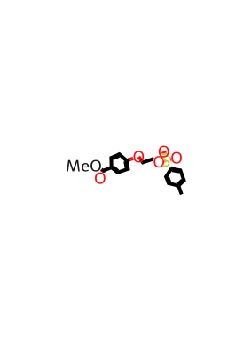 COC(=O)c1ccc(OCCOS(=O)(=O)c2ccc(C)cc2)cc1